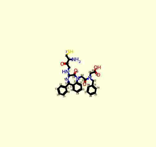 NC(CS)C(=O)CNC1N=C(c2ccccc2)c2ccccc2N(CC(=O)N(CC(=O)O)Cc2ccccc2)C1=O